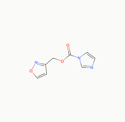 O=C(OCc1ccon1)n1ccnc1